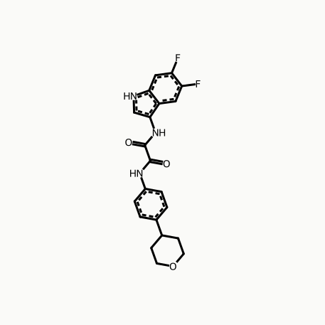 O=C(Nc1ccc(C2CCOCC2)cc1)C(=O)Nc1c[nH]c2cc(F)c(F)cc12